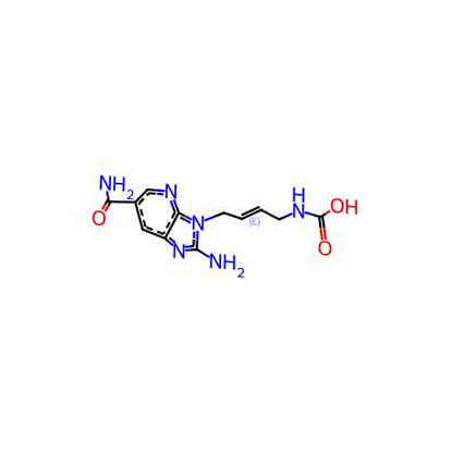 NC(=O)c1cnc2c(c1)nc(N)n2C/C=C/CNC(=O)O